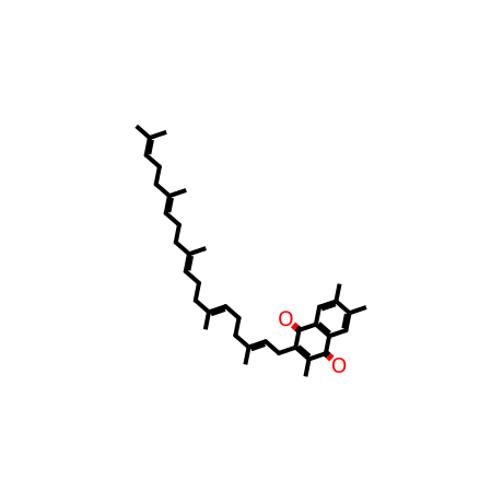 CC(C)=CCC/C(C)=C/CC/C(C)=C/CC/C(C)=C/CC/C(C)=C/CC1=C(C)C(=O)c2cc(C)c(C)cc2C1=O